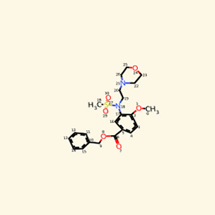 COc1ccc(C(=O)OCc2ccccc2)cc1N(CCN1CCOCC1)S(C)(=O)=O